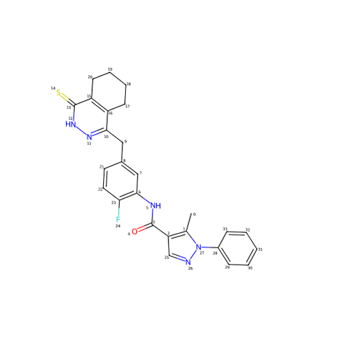 Cc1c(C(=O)Nc2cc(Cc3n[nH]c(=S)c4c3CCCC4)ccc2F)cnn1-c1ccccc1